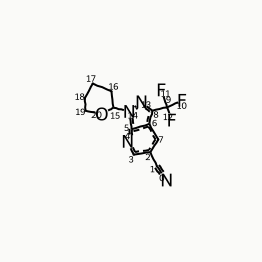 N#Cc1cnc2c(c1)c(C(F)(F)F)nn2C1CCCCO1